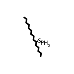 CCCCCCCCCC(CCCCC)SP